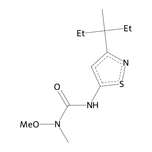 CCC(C)(CC)c1cc(NC(=O)N(C)OC)sn1